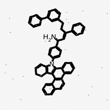 NC(/C=C(\CCc1cccc(-c2ccccc2)c1)c1ccccc1)c1ccc(-n2c3c(c4c5c6ccccc6ccc5c5ccccc5c42)CCC=C3)cc1